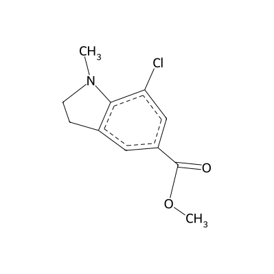 COC(=O)c1cc(Cl)c2c(c1)CCN2C